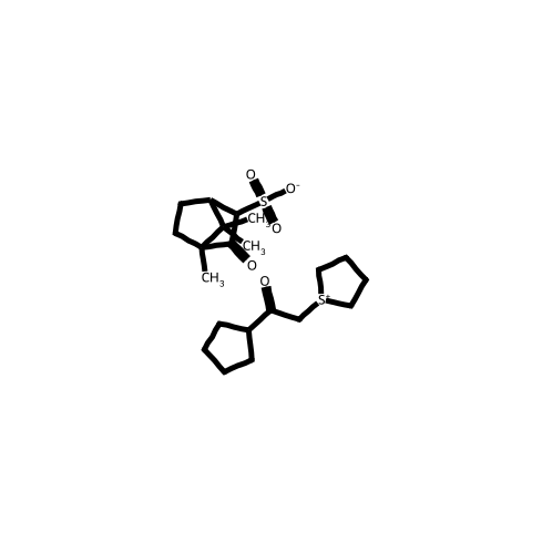 CC12CCC(C(S(=O)(=O)[O-])C1=O)C2(C)C.O=C(C[S+]1CCCC1)C1CCCC1